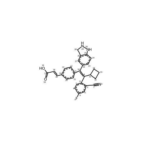 N#Cc1cc(F)ccc1/C(=C(\c1ccc(/C=C/C(=O)O)cc1)c1ccc2c(c1)CNN2)C1CCC1